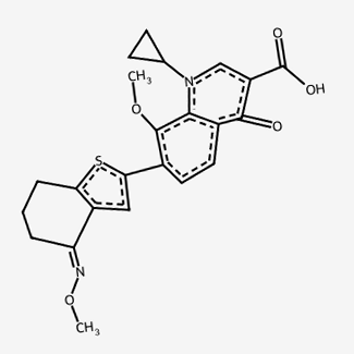 CON=C1CCCc2sc(-c3ccc4c(=O)c(C(=O)O)cn(C5CC5)c4c3OC)cc21